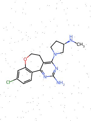 CN[C@@H]1CCN(c2nc(N)nc3c2CCOc2cc(Cl)ccc2-3)C1